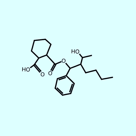 CCCCC(C(C)O)C(OC(=O)C1CCCCC1C(=O)O)c1ccccc1